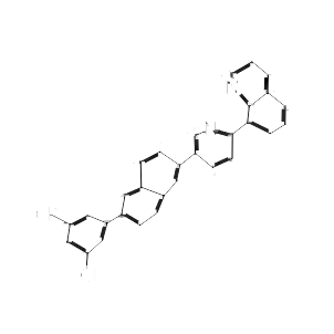 Clc1cc(Cl)cc(-c2ccc3cc(-c4ccc(-c5cccc6cccnc56)nc4)ccc3c2)c1